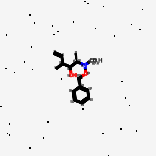 C=CC(C)C(O)[C@@H](C)N(OCc1ccccc1)C(=O)O